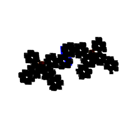 c1ccc(-c2cc(-c3ccccc3)c3sc4c(-c5cccc(-c6ccnc(-c7cc(-c8cccc(-c9cc(-c%10ccccc%10)cc%10c9sc9c(-c%11ccccc%11)cc(-c%11ccccc%11)cc9%10)c8)ccn7)c6)c5)cc(-c5ccccc5)cc4c3c2)cc1